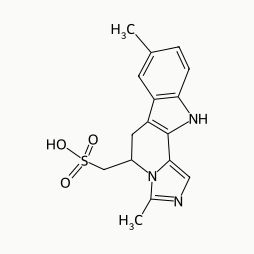 Cc1ccc2[nH]c3c(c2c1)CC(CS(=O)(=O)O)n1c-3cnc1C